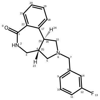 O=C1NC[C@H]2CN(Cc3cccc(F)c3)C[C@@H]2c2ccccc21